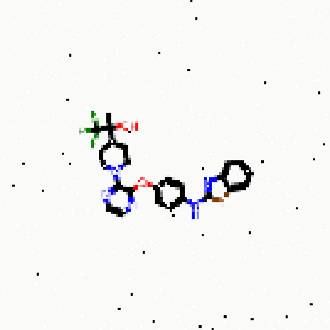 CC(O)(C1CCN(c2nccnc2Oc2ccc(Nc3nc4ccccc4s3)cc2)CC1)C(F)(F)F